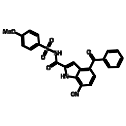 COc1ccc(S(=O)(=O)NC(=O)c2cc3c(C(=O)c4ccccc4)ccc(N=O)c3[nH]2)cc1